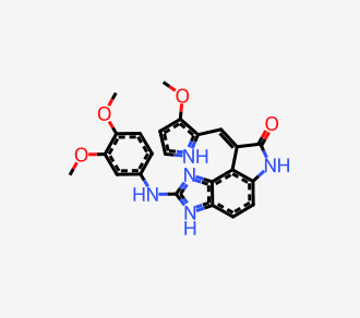 COc1ccc(Nc2nc3c4c(ccc3[nH]2)NC(=O)/C4=C/c2[nH]ccc2OC)cc1OC